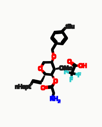 CCCCCCCC=C[C@@H]1OC[C@@H](OCc2ccc(C(C)(C)C)cc2)[C@H](OC)[C@@H]1OC(=O)CN.O=C(O)C(F)(F)F